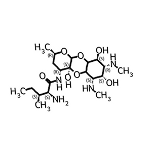 CC[C@H](C)[C@H](N)C(=O)N[C@@H]1C[C@@H](C)OC2OC3C(O[C@]21O)[C@@H](NC)[C@@H](O)[C@@H](NC)[C@@H]3O